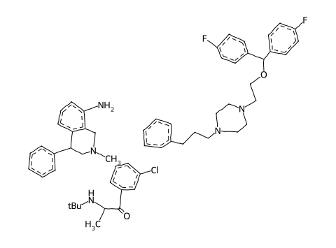 CC(NC(C)(C)C)C(=O)c1cccc(Cl)c1.CN1Cc2c(N)cccc2C(c2ccccc2)C1.Fc1ccc(C(OCCN2CCN(CCCc3ccccc3)CC2)c2ccc(F)cc2)cc1